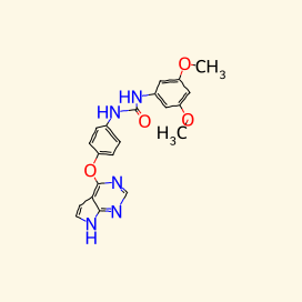 COc1cc(NC(=O)Nc2ccc(Oc3ncnc4[nH]ccc34)cc2)cc(OC)c1